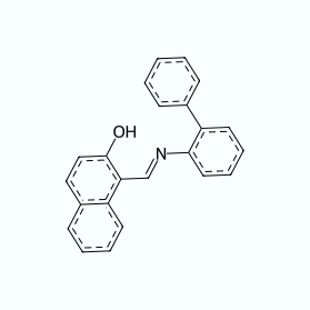 Oc1ccc2ccccc2c1C=Nc1ccccc1-c1ccccc1